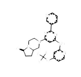 O=C1CCC2CN(c3cc(Nc4cc(OC(F)(F)F)ccn4)nc(-c4cccnc4)n3)CCN12